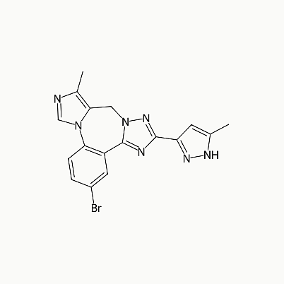 Cc1cc(-c2nc3n(n2)Cc2c(C)ncn2-c2ccc(Br)cc2-3)n[nH]1